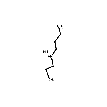 CCCNCCCN.N